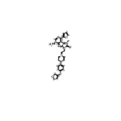 CN1C(=O)N(CCN2CCN(c3ccc(OC4CCOC4)cc3)CC2)C2N=C3C(=C(c4ccco4)N=CN3N)N21